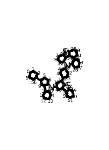 c1ccc(-c2ccc3c(c2)c2ccccc2n3-c2cc(-c3ccc(N(c4ccccc4)c4cccc5sc6ccccc6c45)cc3)c3sc4ccccc4c3c2)cc1